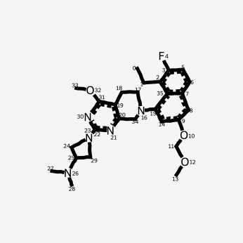 CCc1c(F)ccc2cc(OCOC)cc(N3CCc4c(nc(N5CC(N(C)C)C5)nc4OC)C3)c12